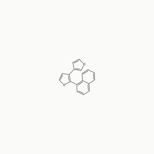 [c]1ccc2ccccc2c1-c1occc1-c1ccoc1